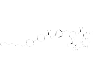 C=C(C)C(=O)OCC(COC(=O)C(C)(C)CO)Cc1ccc(OC(=O)C2CCC(C3CCC(CCCCCCC)CC3)CC2)cc1